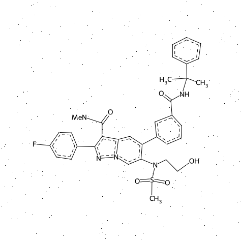 CNC(=O)c1c(-c2ccc(F)cc2)nn2cc(N(CCO)S(C)(=O)=O)c(-c3cccc(C(=O)NC(C)(C)c4ccccc4)c3)cc12